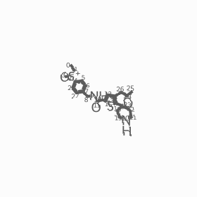 CC[S+]([O-])c1ccc(CNC(=O)c2cc3c(s2)C2(CCNCC2)OC(C)C3)cc1